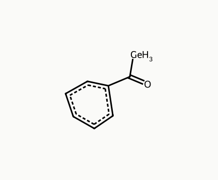 O=[C]([GeH3])c1ccccc1